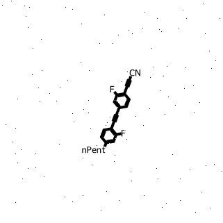 CCCCCc1ccc(C#Cc2ccc(C#CC#N)c(F)c2)c(F)c1